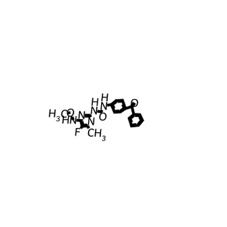 CONc1nc(NC(=O)Nc2ccc(C(=O)c3ccccc3)cc2)nc(C)c1F